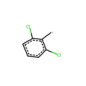 [CH]c1c(Cl)cccc1Cl